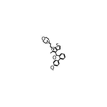 COc1ccc(-c2ccccc2C(=O)c2c(C)n(CCN3CCOCC3)c3sccc23)cc1